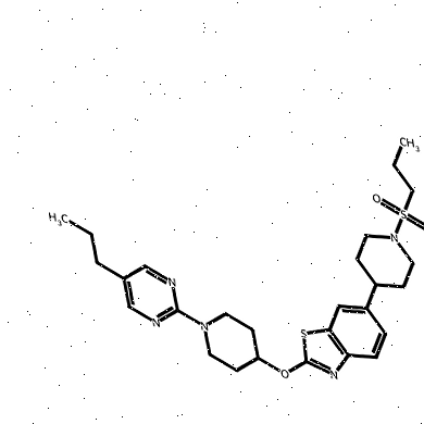 CCCc1cnc(N2CCC(Oc3nc4ccc(C5CCN(S(=O)(=O)CCC)CC5)cc4s3)CC2)nc1